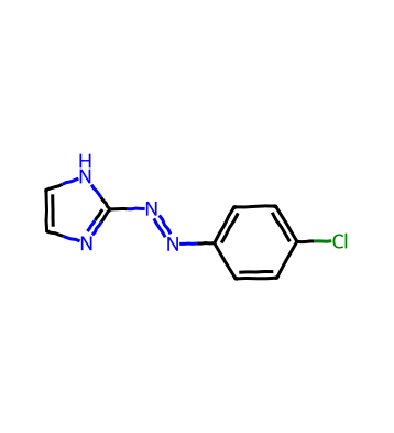 Clc1ccc(N=Nc2ncc[nH]2)cc1